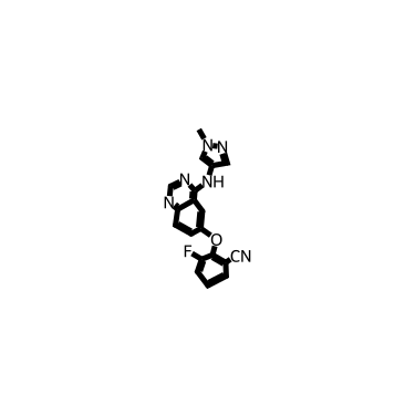 Cn1cc(Nc2ncnc3ccc(Oc4c(F)cccc4C#N)cc23)cn1